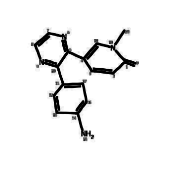 C=C1C=CC(c2nccnc2-c2ccc(N)cc2)=CN1C